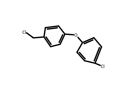 Cl[CH]c1ccc(Oc2ccc(Cl)cc2)cc1